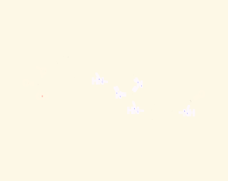 CCOP(=O)(O)Cc1cccc(CNc2nc(Nc3ccc4c(c3)CC(=O)N4)ncc2C(F)(F)F)c1